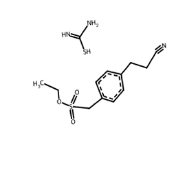 CCOS(=O)(=O)Cc1ccc(CCC#N)cc1.N=C(N)S